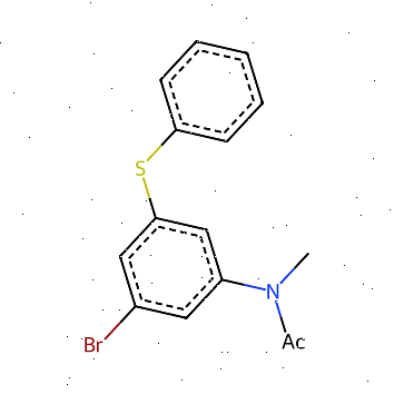 CC(=O)N(C)c1cc(Br)cc(Sc2ccccc2)c1